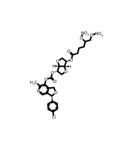 Cc1ncc2c(c1OC(=O)O[C@H]1CO[C@@H]3[C@H]1OC[C@H]3OC(=O)CCCC(CO[N+](=O)[O-])O[N+](=O)[O-])CO[C@H]2c1ccc(Cl)cc1